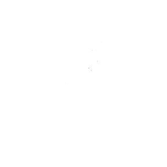 CC1CC2(CCN1C(=O)OC(C)(C)C)OCCc1cc(C=O)sc12